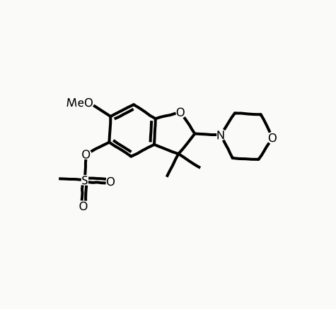 COc1cc2c(cc1OS(C)(=O)=O)C(C)(C)C(N1CCOCC1)O2